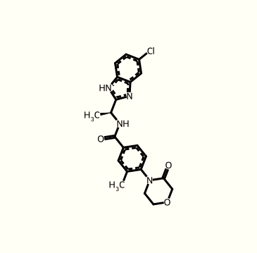 Cc1cc(C(=O)N[C@@H](C)c2nc3cc(Cl)ccc3[nH]2)ccc1N1CCOCC1=O